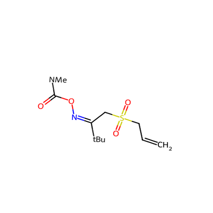 C=CCS(=O)(=O)CC(=NOC(=O)NC)C(C)(C)C